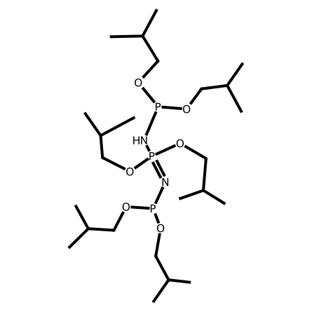 CC(C)COP(N=P(NP(OCC(C)C)OCC(C)C)(OCC(C)C)OCC(C)C)OCC(C)C